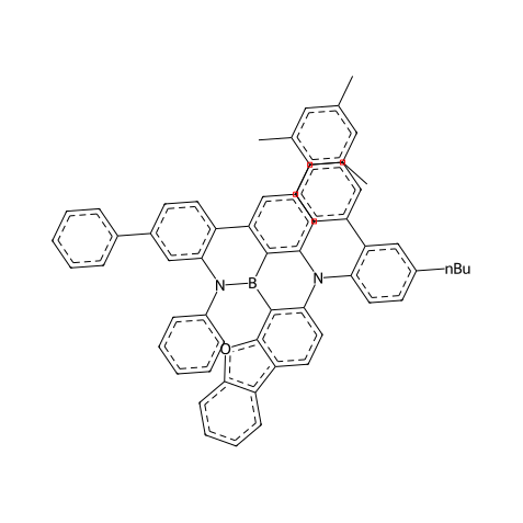 CCCCc1ccc(N2c3cc(-c4c(C)cc(C)cc4C)cc4c3B(c3c2ccc2c3oc3ccccc32)N(c2ccccc2)c2cc(-c3ccccc3)ccc2-4)c(-c2ccccc2)c1